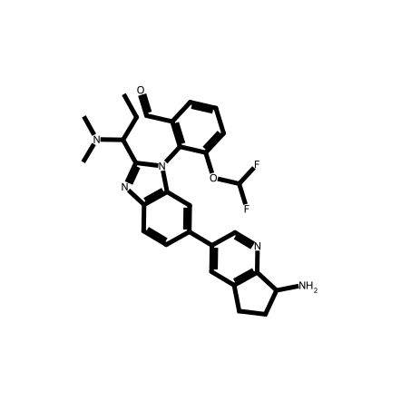 CCC(c1nc2ccc(-c3cnc4c(c3)CCC4N)cc2n1-c1c(C=O)cccc1OC(F)F)N(C)C